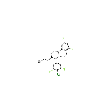 CCC=CC1CCC2c3cc(F)cc(F)c3CCC2C1c1cc(F)c(Cl)c(F)c1